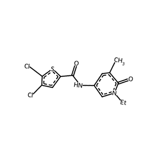 CCn1cc(NC(=O)c2cc(Cl)c(Cl)s2)cc(C)c1=O